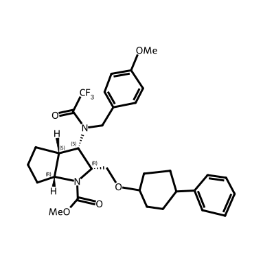 COC(=O)N1[C@@H]2CCC[C@@H]2[C@H](N(Cc2ccc(OC)cc2)C(=O)C(F)(F)F)[C@@H]1COC1CCC(c2ccccc2)CC1